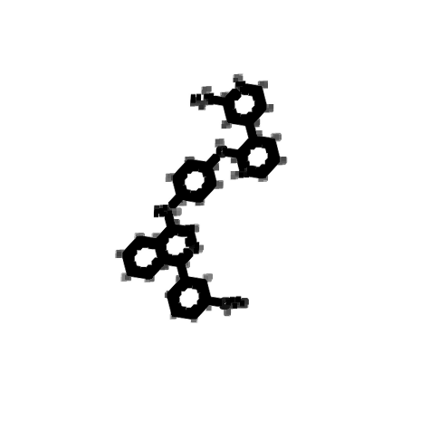 COc1cccc(-c2nnc(Nc3ccc(Oc4ncccc4-c4ccnc(N)c4)cc3)c3ccccc23)c1